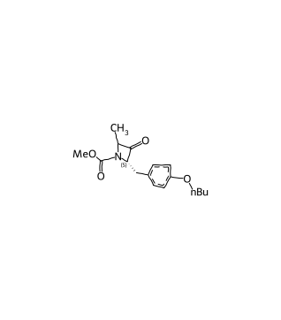 CCCCOc1ccc(C[C@H]2C(=O)C(C)N2C(=O)OC)cc1